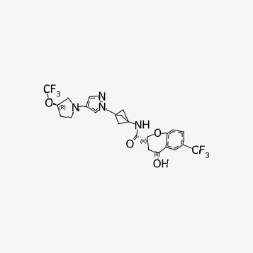 O=C(NC12CC(n3cc(N4CC[C@@H](OC(F)(F)F)C4)cn3)(C1)C2)[C@H]1C[C@@H](O)c2cc(C(F)(F)F)ccc2O1